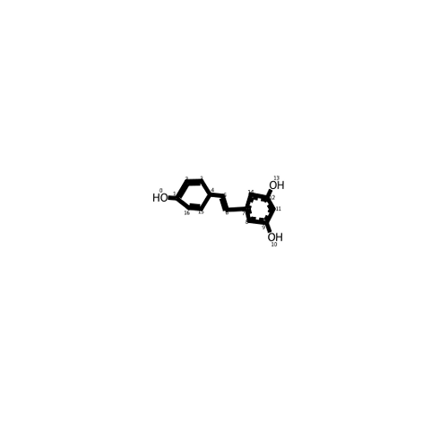 OC1=C=CC(/C=C/c2cc(O)cc(O)c2)C=C1